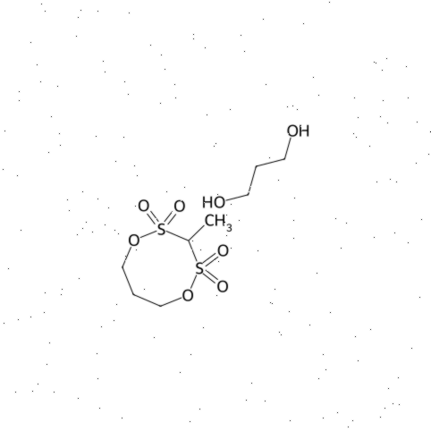 CC1S(=O)(=O)OCCCOS1(=O)=O.OCCCO